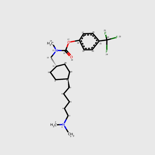 CN(C)CCCCC[C@H]1CC[C@H](CN(C)C(=O)Oc2ccc(C(F)(F)F)cc2)CC1